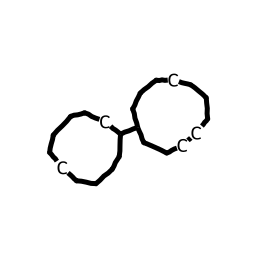 C1CCCCCC(C2CCCCCCCCCC2)CCCCC1